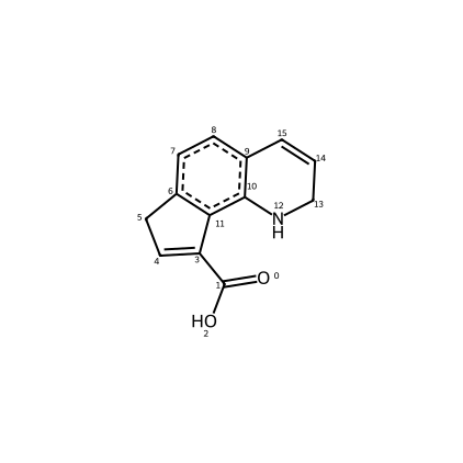 O=C(O)C1=CCc2ccc3c(c21)NCC=C3